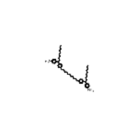 CCCCCCCCCC(c1ccc(N)cc1)c1ccc(CCCCCCCCCCCc2ccc(C(CCCCCCCCC)c3ccc(N)cc3)cc2)cc1